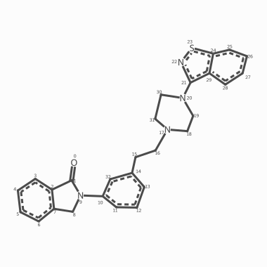 O=C1c2ccccc2CN1c1cccc(CCN2CCN(c3nsc4ccccc34)CC2)c1